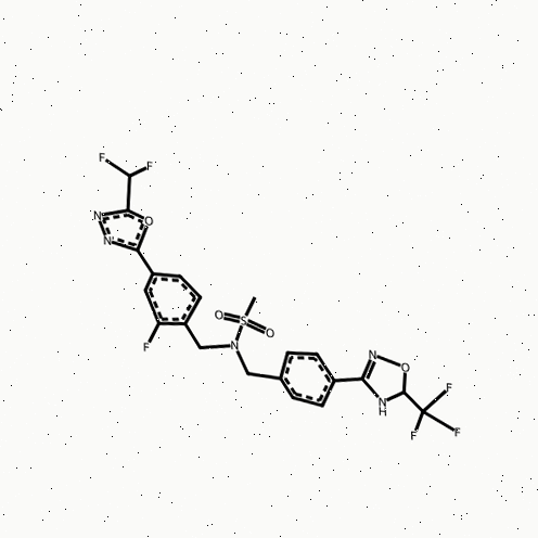 CS(=O)(=O)N(Cc1ccc(C2=NOC(C(F)(F)F)N2)cc1)Cc1ccc(-c2nnc(C(F)F)o2)cc1F